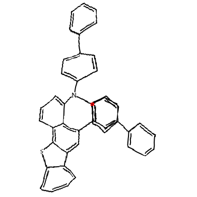 c1ccc(-c2ccc(N(c3ccc(-c4ccccc4)cc3)c3cccc4c3c(-c3ccccc3)cc3c5ccccc5sc43)cc2)cc1